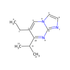 CCc1cn2ccnc2nc1C(C)C